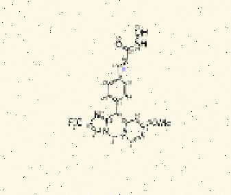 COc1ccc(Cn2cc(C(F)(F)F)nc2Cc2ccc(/C=C/C(=O)NO)cc2)cc1